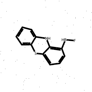 FBc1cccc2c1Nc1ccccc1S2